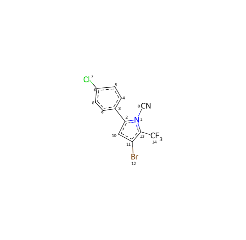 N#Cn1c(-c2ccc(Cl)cc2)cc(Br)c1C(F)(F)F